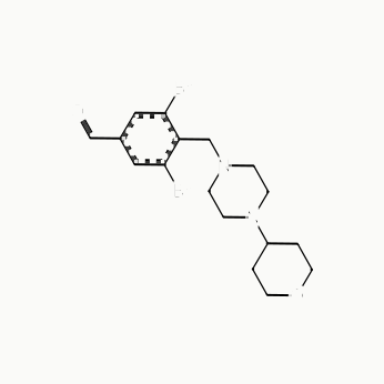 O=Cc1cc(Br)c(CN2CCN(C3CCOCC3)CC2)c(Br)c1